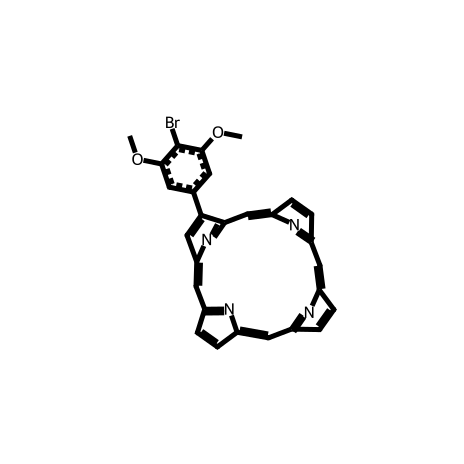 COc1cc(C2=CC3=CC4=NC(=CC5=NC(=CC6=NC(=CC2=N3)C=C6)C=C5)C=C4)cc(OC)c1Br